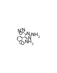 Nc1nc(N)c(-c2cccc3c2OC3)c(-c2ncno2)n1